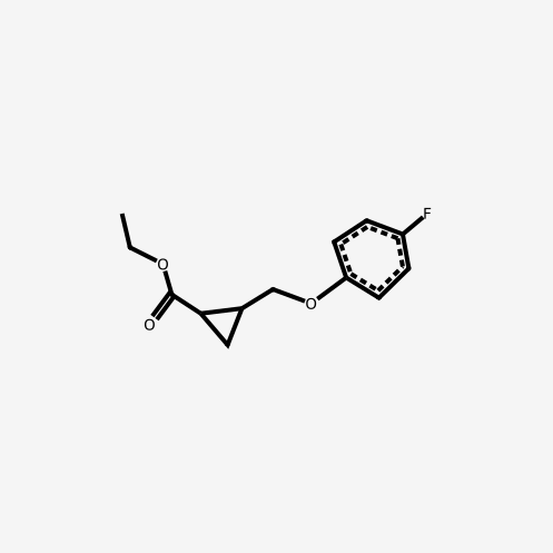 CCOC(=O)C1CC1COc1ccc(F)cc1